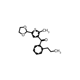 CCCc1ccccc1C(=O)c1cc(C2OCCO2)sc1C